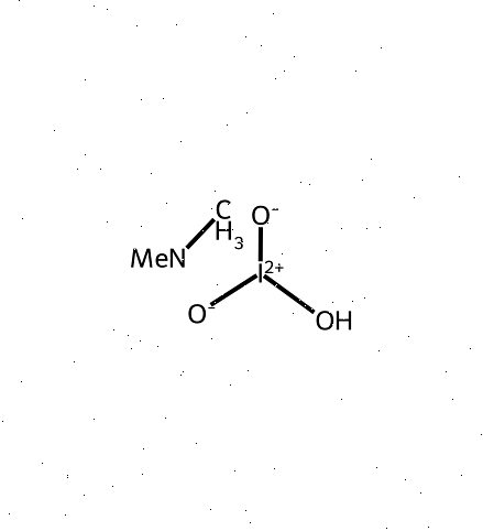 CNC.[O-][I+2]([O-])O